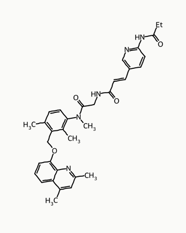 CCC(=O)Nc1ccc(C=CC(=O)NCC(=O)N(C)c2ccc(C)c(COc3cccc4c(C)cc(C)nc34)c2C)cn1